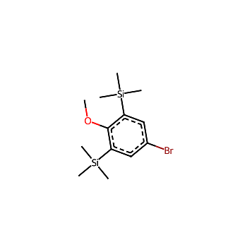 COc1c([Si](C)(C)C)cc(Br)cc1[Si](C)(C)C